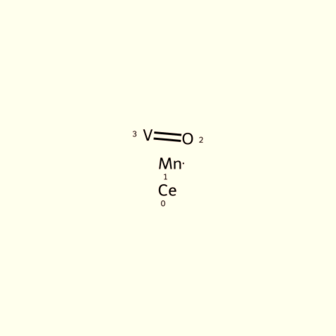 [Ce].[Mn].[O]=[V]